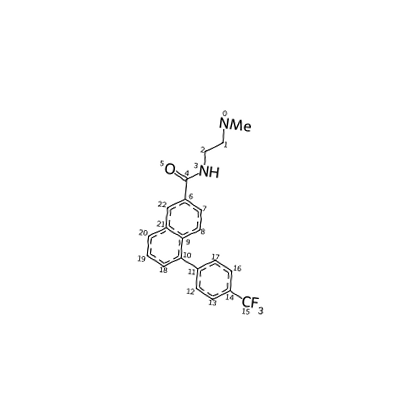 CNCCNC(=O)c1ccc2c(-c3ccc(C(F)(F)F)cc3)cccc2c1